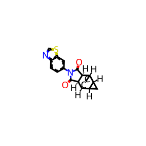 O=C1[C@@H]2[C@@H]3CC[C@@H]([C@@H]4C[C@@H]43)[C@@H]2C(=O)N1c1ccc2ncsc2c1